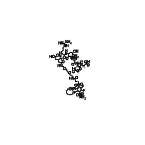 C[C@H](NC(=O)[C@H](CC(=O)O)NC(=O)[C@@H](N)CNC(=O)C(CC(=O)O)NC(=O)C(CCCNC(=N)N)NC(=O)C(CC(=O)O)CC(=O)NCOCCOCCNC(=O)CCS(=O)(=O)c1c(F)c(F)c(S(N)(=O)=O)c(F)c1NC1CCCCCCC1)C(=O)O